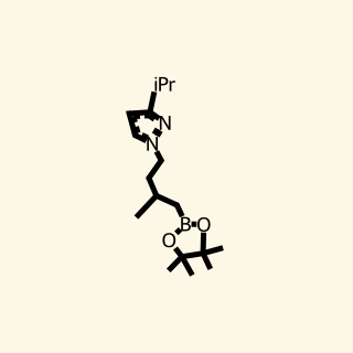 CC(CCn1ccc(C(C)C)n1)CB1OC(C)(C)C(C)(C)O1